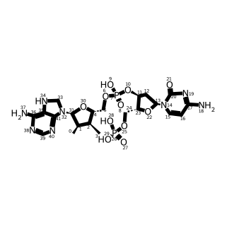 C[C@@H]1[C@H](C)[C@@H](COP(=O)(O)O[C@H]2C[C@H](n3ccc(N)nc3=O)O[C@@H]2COP(=O)(O)O)O[C@H]1N1CNc2c(N)ncnc21